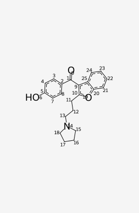 O=C(c1ccc(O)cc1)c1c(CCCN2CCCC2)oc2ccccc12